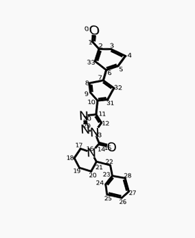 O=Cc1cccc(-c2ccc(-c3cn(C(=O)N4CCCCC4Cc4ccccc4)nn3)cc2)c1